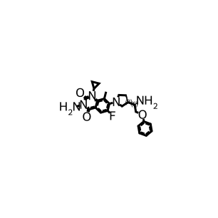 Cc1c(N2CC[C@@H]([C@H](N)COc3ccccc3)C2)c(F)cc2c(=O)n(N)c(=O)n(C3CC3)c12